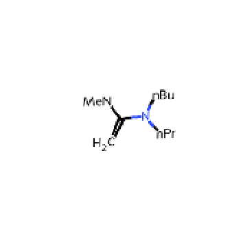 C=C(NC)N(CCC)CCCC